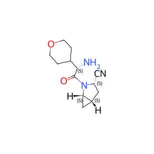 N#C[C@@H]1C[C@@H]2C[C@@H]2N1C(=O)[C@@H](N)C1CCOCC1